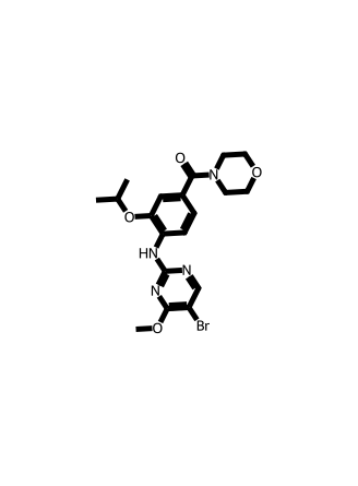 COc1nc(Nc2ccc(C(=O)N3CCOCC3)cc2OC(C)C)ncc1Br